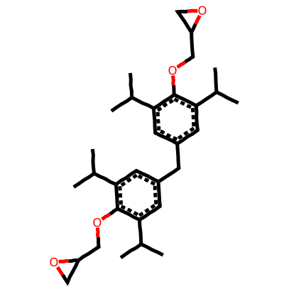 CC(C)c1cc(Cc2cc(C(C)C)c(OCC3CO3)c(C(C)C)c2)cc(C(C)C)c1OCC1CO1